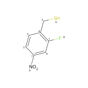 O=[N+]([O-])c1ccc(CS)c(F)c1